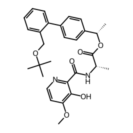 COc1ccnc(C(=O)N[C@@H](C)C(=O)O[C@@H](C)c2ccc(-c3ccccc3COC(C)(C)C)cc2)c1O